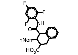 CCCCCCCCCC1C(C(=O)O)Cc2ccccc2C1C(=O)Nc1c(F)cc(F)cc1F